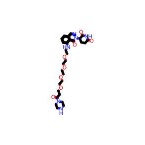 O=C1CCC(n2ncc3cccc(NCCOCCOCCOCCOCCC(=O)N4CCNCC4)c3c2=O)C(=O)N1